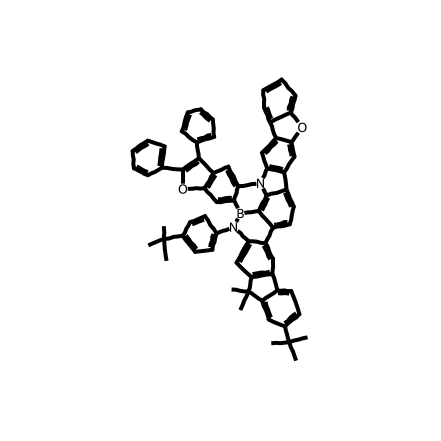 CC(C)(C)c1ccc(N2B3c4cc5oc(-c6ccccc6)c(-c6ccccc6)c5cc4-n4c5cc6c(cc5c5ccc(c3c54)-c3cc4c(cc32)C(C)(C)c2cc(C(C)(C)C)ccc2-4)oc2ccccc26)cc1